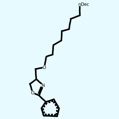 CCCCCCCCCCCCCCCCCCOCC1COC(c2ccccc2)=N1